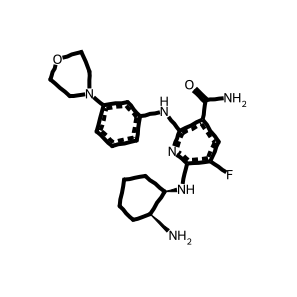 NC(=O)c1cc(F)c(N[C@@H]2CCCC[C@@H]2N)nc1Nc1cccc(N2CCOCC2)c1